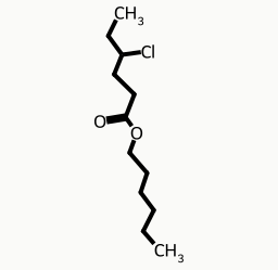 CCCCCCOC(=O)CCC(Cl)CC